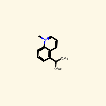 COC(OC)c1cccc2c1ccc[n+]2C